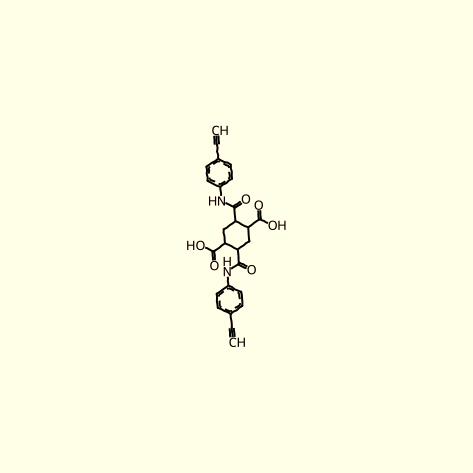 C#Cc1ccc(NC(=O)C2CC(C(=O)O)C(C(=O)Nc3ccc(C#C)cc3)CC2C(=O)O)cc1